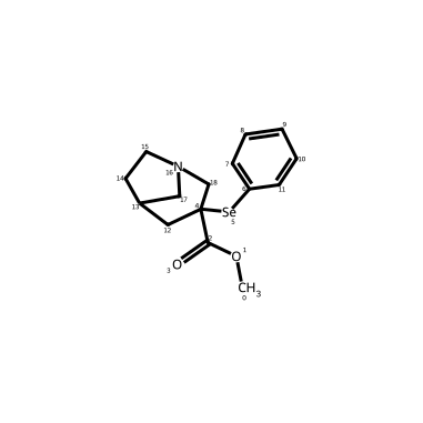 COC(=O)C1([Se]c2ccccc2)CC2CCN(C2)C1